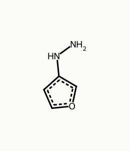 NNc1ccoc1